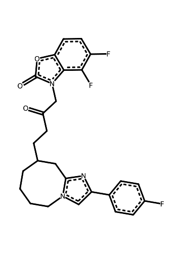 O=C(CCC1CCCCn2cc(-c3ccc(F)cc3)nc2C1)Cn1c(=O)oc2ccc(F)c(F)c21